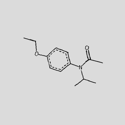 CCOc1ccc(N(C(C)=O)C(C)C)cc1